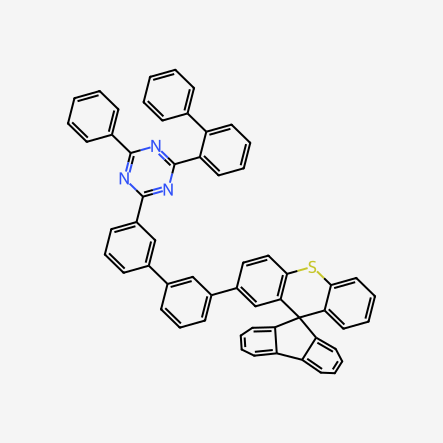 c1ccc(-c2nc(-c3cccc(-c4cccc(-c5ccc6c(c5)C5(c7ccccc7S6)c6ccccc6-c6ccccc65)c4)c3)nc(-c3ccccc3-c3ccccc3)n2)cc1